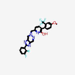 COc1ccc(-c2ccc(Cn3cc4nc(-c5cccc(F)c5F)nc-4cn3)nc2O)c(C(F)(F)F)c1